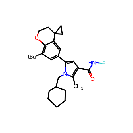 Cc1c(C(=O)NF)cc(-c2cc(C(C)(C)C)c3c(c2)C2(CCO3)CC2)n1CC1CCCCC1